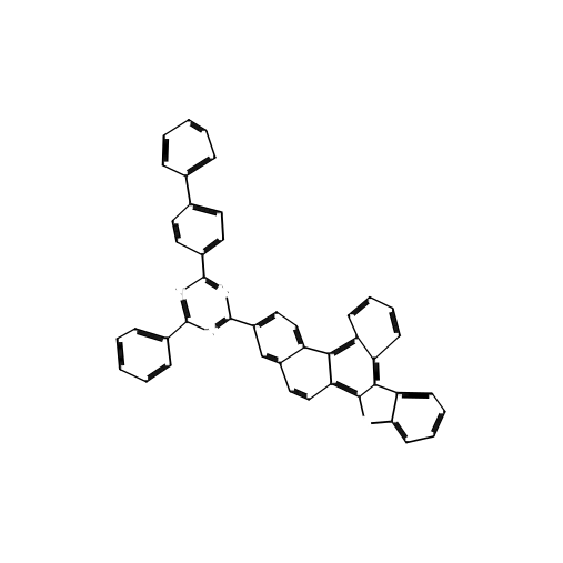 c1ccc(-c2ccc(-c3nc(-c4ccccc4)nc(-c4ccc5c(ccc6c7sc8ccccc8c7c7ccccc7c56)c4)n3)cc2)cc1